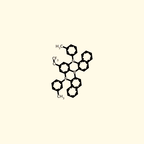 Cc1cccc(N2c3cc(OC(F)(F)F)cc4c3B(c3ccc5ccccc5c32)c2ccc3ccccc3c2N4c2cccc(C)c2)c1